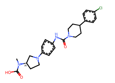 CN(C(=O)O)[C@@H]1CCN(c2ccc(NC(=O)N3CCC(c4ccc(Cl)cc4)CC3)cc2)C1